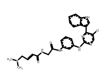 CN(C)CC=CC(=O)NCC(=O)Nc1cccc(Nc2ncc(Cl)c(-c3c[nH]c4ccccc34)n2)c1